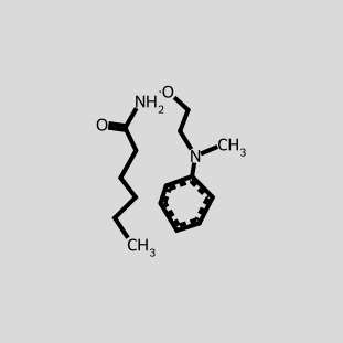 CCCCCC(N)=O.CN(CC[O])c1ccccc1